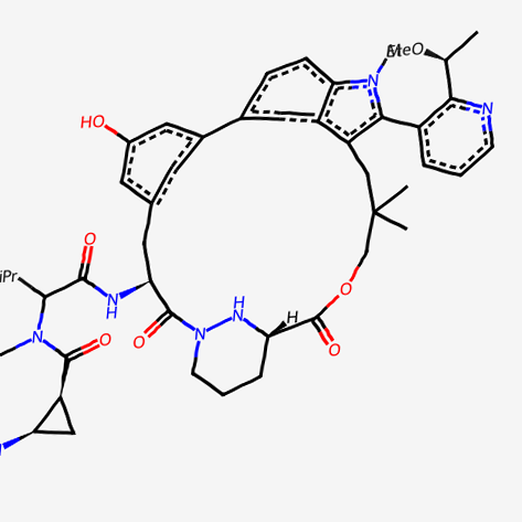 CCn1c(-c2cccnc2[C@H](C)OC)c2c3cc(ccc31)-c1cc(O)cc(c1)C[C@H](NC(=O)C(C(C)C)N(C)C(=O)[C@H]1C[C@H]1N)C(=O)N1CCC[C@H](N1)C(=O)OCC(C)(C)C2